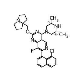 C[C@@H]1CN(c2nc(OCC34CCCN3CCC4)nc3c(F)c(-c4cccc5cccc(Cl)c45)ncc23)C[C@H](C)N1